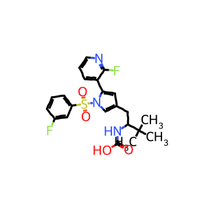 CC(C)(C)C(Cc1cc(-c2cccnc2F)n(S(=O)(=O)c2cccc(F)c2)c1)NC(=O)O